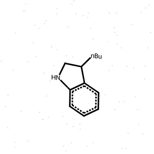 CCCCC1CNc2ccccc21